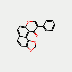 O=c1c(-c2ccccc2)coc2ccc3ccc4c(c3c12)OCO4